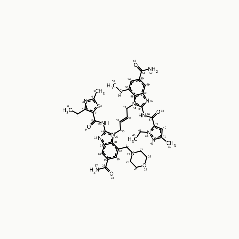 CCc1nc(C)sc1C(=O)Nc1nc2cc(C(N)=O)cc(CN3CCOCC3)c2n1CC=CCn1c(NC(=O)c2cc(C)nn2CC)nc2cc(C(N)=O)cc(SC)c21